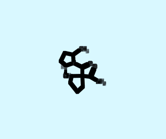 CC1CC[C@@H](C)N1C(=O)C1(C(N)=O)CCCC1